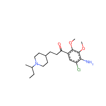 CCC(C)N1CCC(CCC(=O)c2cc(Cl)c(N)c(OC)c2OC)CC1